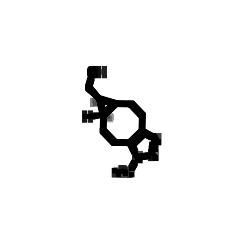 CCCCn1nnc2c1CC[C@H]1C(CC2)[C@@H]1CO